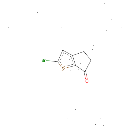 O=C1CCc2cc(Br)sc21